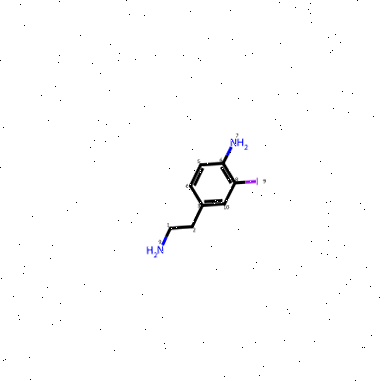 NCCc1ccc(N)c(I)c1